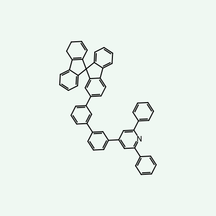 C1=CC2=C(CC1)c1ccccc1C21c2ccccc2-c2ccc(-c3cccc(-c4cccc(-c5cc(-c6ccccc6)nc(-c6ccccc6)c5)c4)c3)cc21